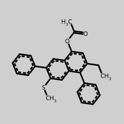 CCc1cc(OC(C)=O)c2cc(-c3ccccc3)c(SC)cc2c1-c1ccccc1